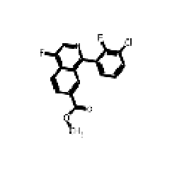 COC(=O)c1ccc2c(F)cnc(-c3cccc(Cl)c3F)c2c1